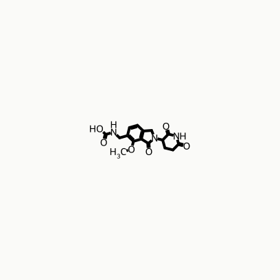 COc1c(CNC(=O)O)ccc2c1C(=O)N(C1CCC(=O)NC1=O)C2